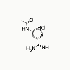 CC(=O)Nc1cccc(C(=N)N)c1.Cl